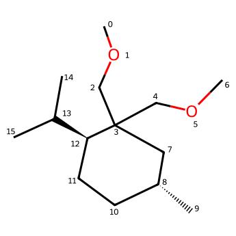 COCC1(COC)C[C@H](C)CC[C@H]1C(C)C